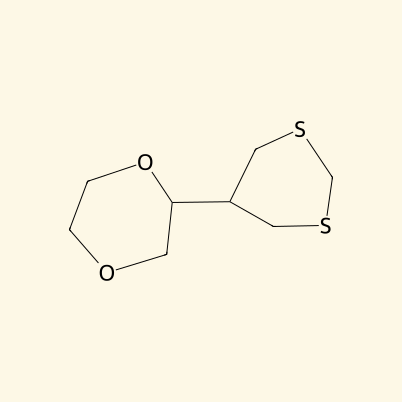 C1COC(C2CSCSC2)CO1